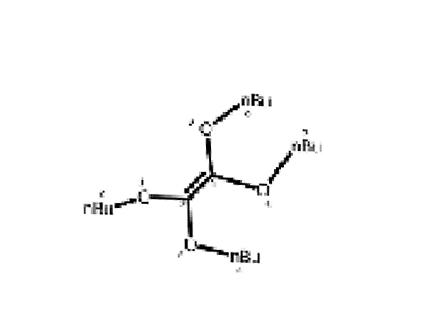 CCCCOC(OCCCC)=C(OCCCC)OCCCC